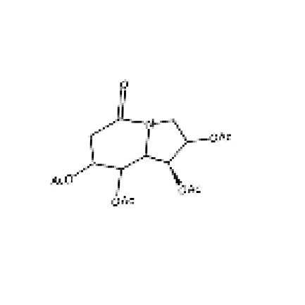 CC(=O)OC1CC(=O)N2CC(OC(C)=O)[C@@H](OC(C)=O)C2C1OC(C)=O